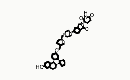 O=C1CCC(N2Cc3cc(N4CCN(Cc5ccc(COc6ccc([C@@H]7c8ccc(O)cc8CC[C@@H]7c7ccccc7)cc6)cn5)CC4)ccc3C2=O)C(=O)N1